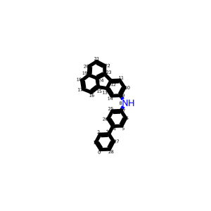 c1ccc(-c2ccc(Nc3ccc4c(c3)-c3cccc5cccc-4c35)cc2)cc1